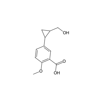 COc1ccc(C2CC2CO)cc1C(=O)O